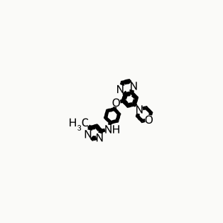 Cc1cc(NC2CCC(Oc3cc(N4CCOCC4)cc4nccnc34)CC2)ncn1